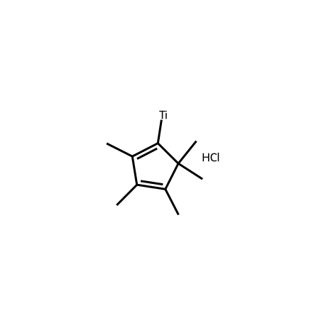 CC1=C(C)C(C)(C)[C]([Ti])=C1C.Cl